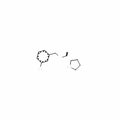 O=C(OCc1cccc(Br)c1)[C@@H]1CCCN1